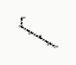 O=C(CCSCSCCC[S+]([O-])CCSCSCCSC(=O)CCSCSCCC[S+]([O-])CCSCCO)SCCSCCO